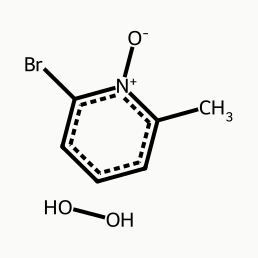 Cc1cccc(Br)[n+]1[O-].OO